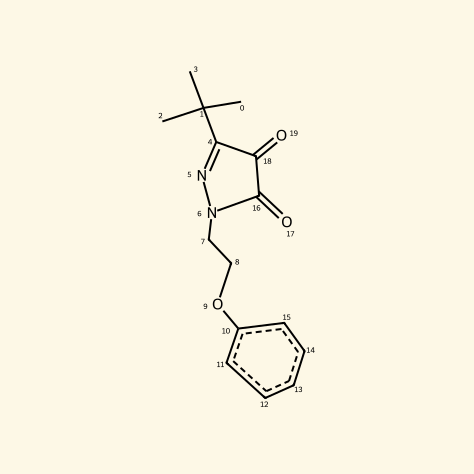 CC(C)(C)C1=NN(CCOc2ccccc2)C(=O)C1=O